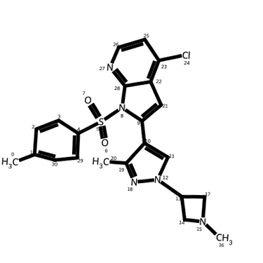 Cc1ccc(S(=O)(=O)n2c(-c3cn(C4CN(C)C4)nc3C)cc3c(Cl)ccnc32)cc1